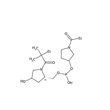 CCC(=O)N1CCC(OP(O)OC[C@@H]2CC(O)CN2C(=O)C(C)(C)CC)C1